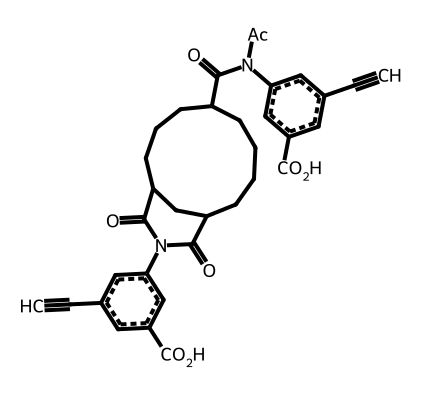 C#Cc1cc(C(=O)O)cc(N(C(C)=O)C(=O)C2CCCCC3CC(CCC2)C(=O)N(c2cc(C#C)cc(C(=O)O)c2)C3=O)c1